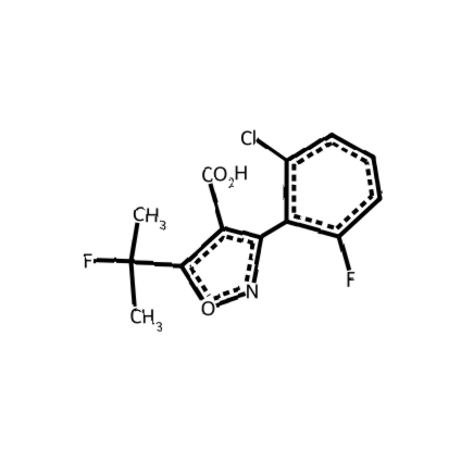 CC(C)(F)c1onc(-c2c(F)cccc2Cl)c1C(=O)O